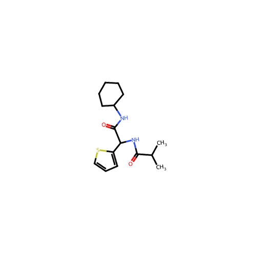 CC(C)C(=O)NC(C(=O)NC1CCCCC1)c1cccs1